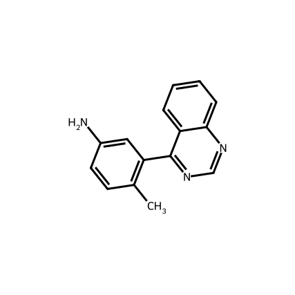 Cc1ccc(N)cc1-c1ncnc2ccccc12